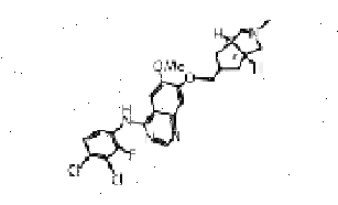 COc1cc2c(Nc3ccc(Cl)c(Cl)c3F)ncnc2cc1OCC1C[C@@H]2CN(C)C[C@@H]2C1